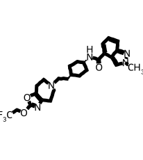 Cn1cc2c(C(=O)N[C@H]3CC[C@H](CCN4CCc5nc(OCC(F)(F)F)oc5CC4)CC3)cccc2n1